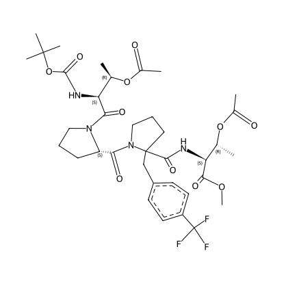 COC(=O)[C@@H](NC(=O)C1(Cc2ccc(C(F)(F)F)cc2)CCCN1C(=O)[C@@H]1CCCN1C(=O)[C@@H](NC(=O)OC(C)(C)C)[C@@H](C)OC(C)=O)[C@@H](C)OC(C)=O